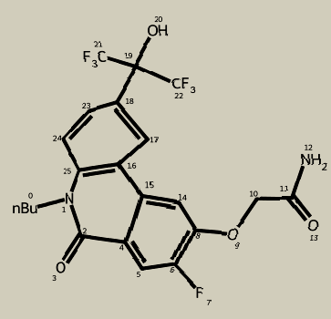 CCCCn1c(=O)c2cc(F)c(OCC(N)=O)cc2c2cc(C(O)(C(F)(F)F)C(F)(F)F)ccc21